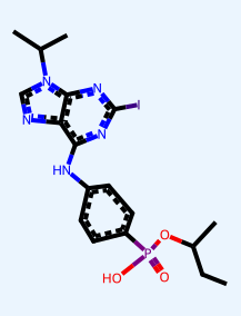 CCC(C)OP(=O)(O)c1ccc(Nc2nc(I)nc3c2ncn3C(C)C)cc1